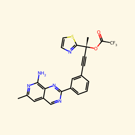 Cc1cc2cnc(-c3cccc(C#C[C@@](C)(OC(=O)C(F)(F)F)c4nccs4)c3)nc2c(N)n1